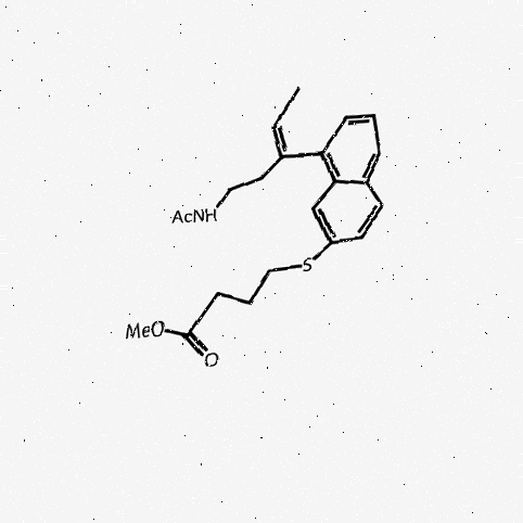 C/C=C(/CCNC(C)=O)c1cccc2ccc(SCCCC(=O)OC)cc12